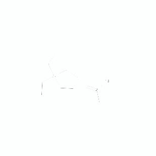 CC(N)=O.CC[N+](CC)(CC)CC.[Cl-]